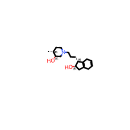 C[C@@H]1CCN(CCC[C@@H]2C3=C(CC=CC3)C[C@H]2O)C[C@H]1O